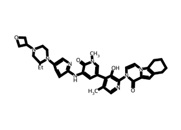 CC[C@H]1CN(C2COC2)CCN1c1ccc(Nc2cc(-c3c(C)cnc(-n4ccn5c6c(cc5c4=O)CCCC6)c3O)cn(C)c2=O)nc1